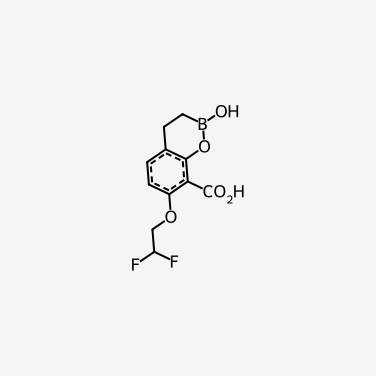 O=C(O)c1c(OCC(F)F)ccc2c1OB(O)CC2